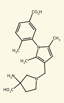 Cc1ccc(C(=O)O)cc1-n1c(C)cc(CN2CCC(N)(C(=O)O)C2)c1C